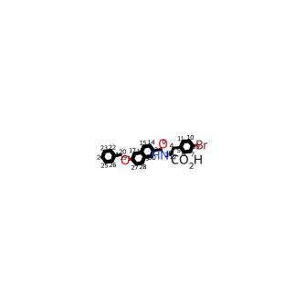 O=C(N[C@@H](Cc1ccc(Br)cc1)C(=O)O)c1ccc2cc(OCc3ccccc3)ccc2c1